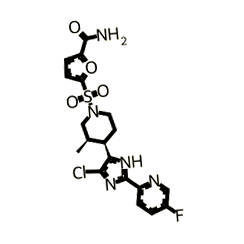 C[C@H]1CN(S(=O)(=O)c2ccc(C(N)=O)o2)CC[C@H]1c1[nH]c(-c2ccc(F)cn2)nc1Cl